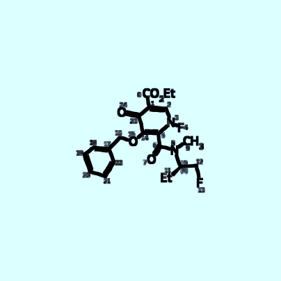 CCOC(=O)c1cn(F)c(C(=O)N(C)[C@H](CC)CF)c(OCc2ccccc2)c1=O